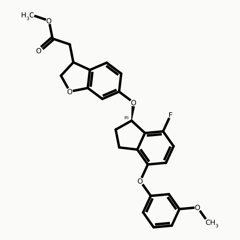 COC(=O)CC1COc2cc(O[C@@H]3CCc4c(Oc5cccc(OC)c5)ccc(F)c43)ccc21